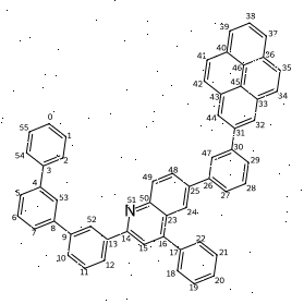 c1ccc(-c2cccc(-c3cccc(-c4cc(-c5ccccc5)c5cc(-c6cccc(-c7cc8ccc9cccc%10ccc(c7)c8c9%10)c6)ccc5n4)c3)c2)cc1